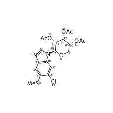 CSc1cc2ncn([C@@H]3OC[C@@H](OC(C)=O)[C@@H](OC(C)=O)[C@H]3OC(C)=O)c2cc1Cl